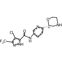 O=C(Nc1ccc([C@H]2CNCCO2)nc1)c1[nH]nc(C(F)(F)F)c1Cl